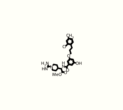 COC(=O)[C@@H](NC(=O)c1cc(O)cc(OCCCc2ccc(C)cc2Cl)c1)C1CCN(C(=N)N)CC1